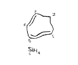 C1=CCC=C1.[SiH4]